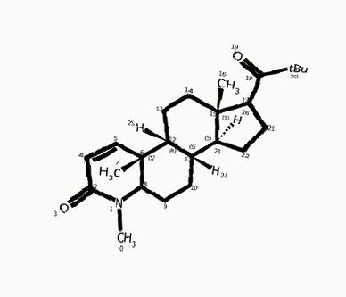 CN1C(=O)C=C[C@@]2(C)C1CC[C@@H]1[C@H]2CC[C@]2(C)C(C(=O)C(C)(C)C)CC[C@@H]12